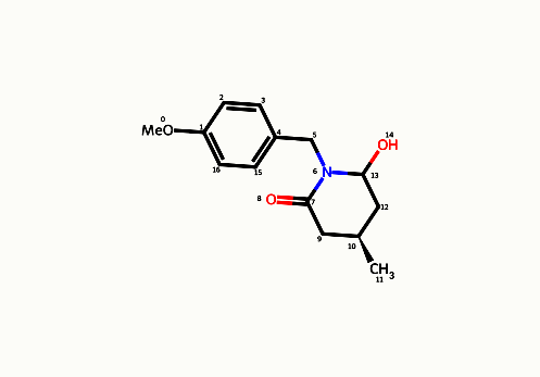 COc1ccc(CN2C(=O)C[C@H](C)CC2O)cc1